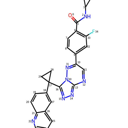 O=C(NC1CC1)c1ccc(-c2cnc3nnc(C4(c5ccc6ncccc6c5)CC4)n3n2)cc1F